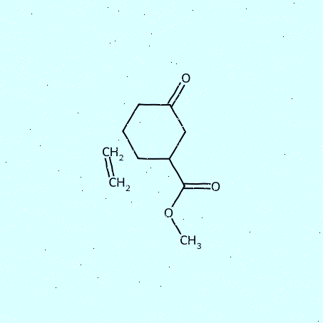 C=C.COC(=O)C1CCCC(=O)C1